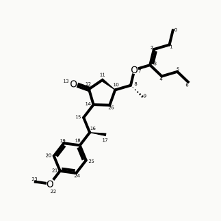 CC/C=C(\CCC)O[C@H](C)[C@@H]1CC(=O)C(C[C@@H](C)c2ccc(OC)cc2)C1